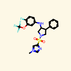 Cn1cnc(S(=O)(=O)N2CC(Nc3ccc(F)c(OC(F)(F)F)c3)C(c3ccccc3)C2)c1